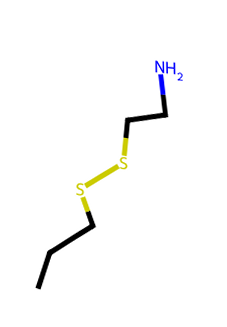 CCCSSCCN